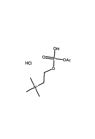 CC(=O)OP(=O)(O)OCC[N+](C)(C)C.Cl